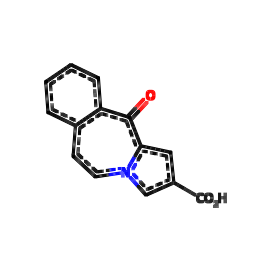 O=C(O)c1cc2c(=O)c3ccccc3ccn2c1